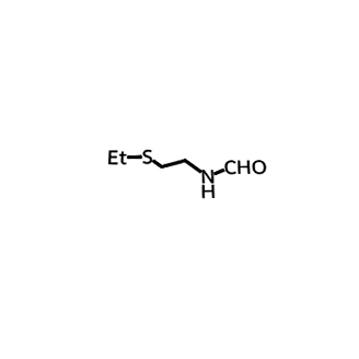 CCSCCNC=O